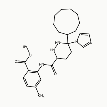 Cc1ccc(C(=O)OC(C)C)c(NC(=O)C2CCC(C3CCCCCCCC3)(n3ccnc3)NN2)c1